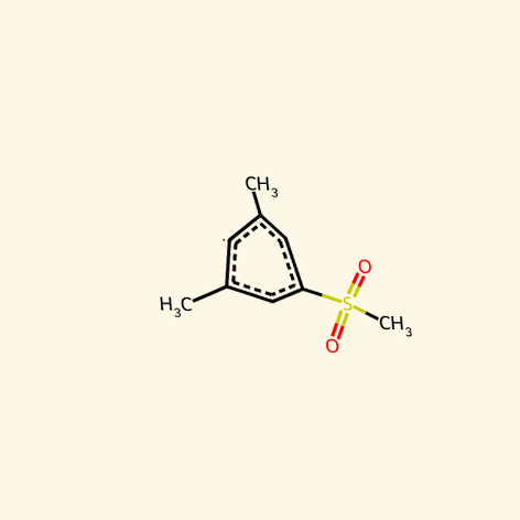 Cc1[c]c(C)cc(S(C)(=O)=O)c1